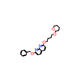 c1ccc(COc2ccc3ccc(OCCCCOC4CCCCO4)nc3n2)cc1